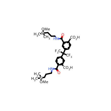 CO[Si](C)(C)CCCNC(=O)c1ccc(C(c2ccc(C(=O)O)c(C(=O)NCCC[Si](C)(C)OC)c2)(C(F)(F)F)C(F)(F)F)cc1C(=O)O